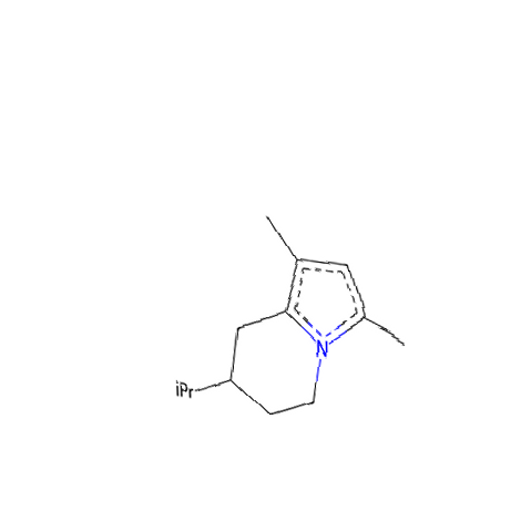 Cc1cc(C)n2c1CC(C(C)C)CC2